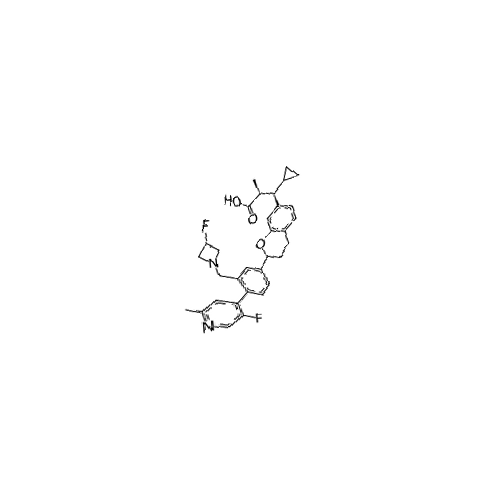 Cc1cc(-c2ccc(C3CCc4ccc([C@H](C5CC5)[C@H](C)C(=O)O)cc4O3)cc2CN2CC(F)C2)c(F)cn1